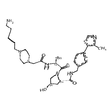 Cc1ncsc1-c1ccc(CNC(=O)[C@@H]2C[C@@H](O)CN2C(=O)[C@@H](NC(=O)CN2CCN(CCCCCN)CC2)C(C)(C)C)cc1